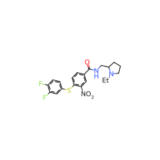 CCN1CCCC1CNC(=O)c1ccc(Sc2ccc(F)c(F)c2)c([N+](=O)[O-])c1